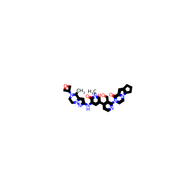 CC1c2cc(Nc3cc(-c4ccnc(-n5ccn6c7c(cc6c5=O)CCC7)c4CO)cn(C)c3=O)nn2CCN1C1COC1